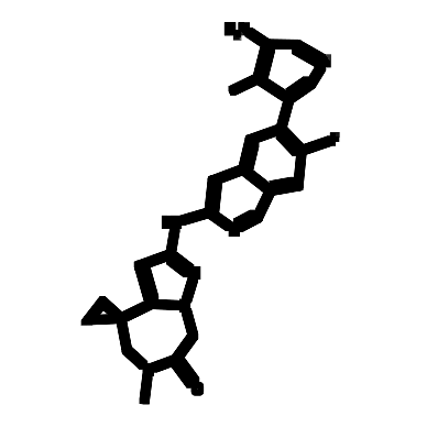 Cc1c(N)cncc1-c1cc2cc(Nc3cc4n(n3)CC(=O)N(C)CC43CC3)ncc2cc1F